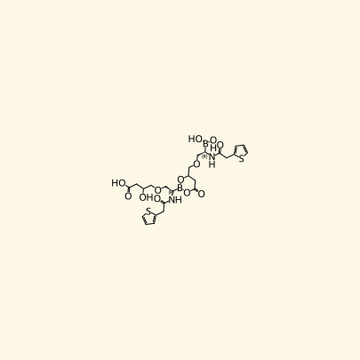 O=C(O)CC(O)COC[C@H](NC(=O)Cc1cccs1)B1OC(=O)CC(COC[C@H](NC(=O)Cc2cccs2)B(O)O)O1